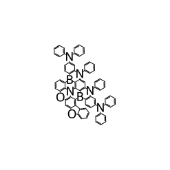 c1ccc(N(c2ccccc2)c2ccc3c(c2)N(c2ccccc2)c2cc4c5c6c2B3c2cccc3c2N6c2c(cc6oc7ccccc7c6c2B5c2ccc(N(c5ccccc5)c5ccccc5)cc2N4c2ccccc2)O3)cc1